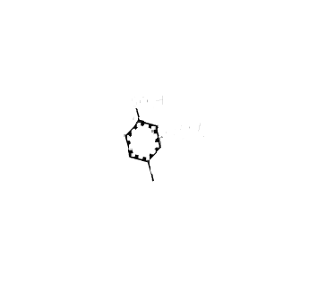 Cc1ccc(S(=O)(=O)O)cc1.O.O